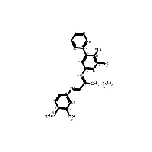 CCCCCCc1ccc(N=CC(C)=Nc2cc(CC)c(CC)c(-c3ccccc3)c2)cc1CCCC.[PdH2]